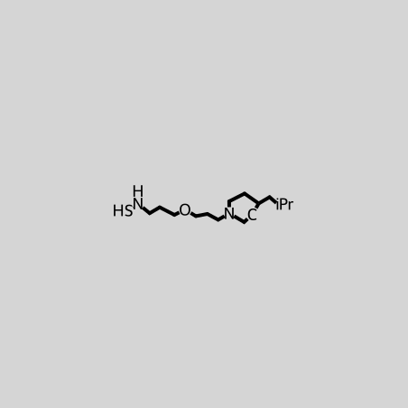 CC(C)CC1CCN(CCCOCCCNS)CC1